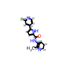 CC1C(NC(=O)c2ccc(-c3ccnc(F)c3)[nH]2)C2CCN1CC2